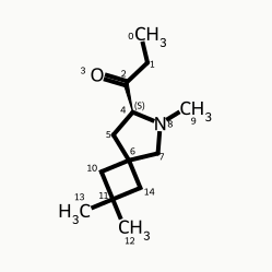 CCC(=O)[C@@H]1CC2(CN1C)CC(C)(C)C2